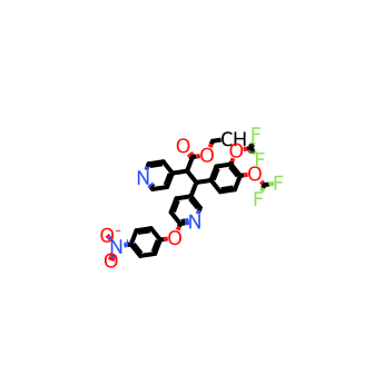 CCOC(=O)C(c1ccncc1)C(c1ccc(Oc2ccc([N+](=O)[O-])cc2)nc1)c1ccc(OC(F)F)c(OC(F)F)c1